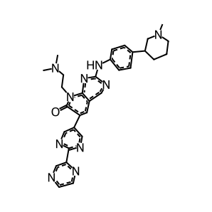 CN(C)CCn1c(=O)c(-c2cnc(-c3cnccn3)nc2)cc2cnc(Nc3ccc(C4CCCN(C)C4)cc3)nc21